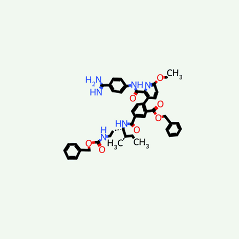 CCOc1ccc(-c2ccc(C(=O)N[C@@H](CCNC(=O)OCc3ccccc3)[C@@H](C)CC)cc2C(=O)OCc2ccccc2)c(C(=O)Nc2ccc(C(=N)N)cc2)n1